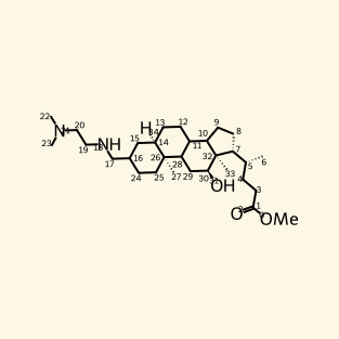 COC(=O)CC[C@@H](C)[C@H]1CCC2C3CC[C@@H]4CC(CNCCN(C)C)CC[C@]4(C)C3C[C@H](O)[C@@]21C